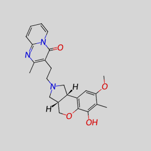 COc1cc2c(c(O)c1C)OC[C@@H]1CN(CCc3c(C)nc4ccccn4c3=O)C[C@H]21